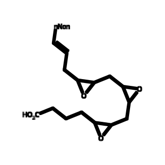 CCCCCCCCCC=CCC1OC1CC1OC1CC1OC1CCCC(=O)O